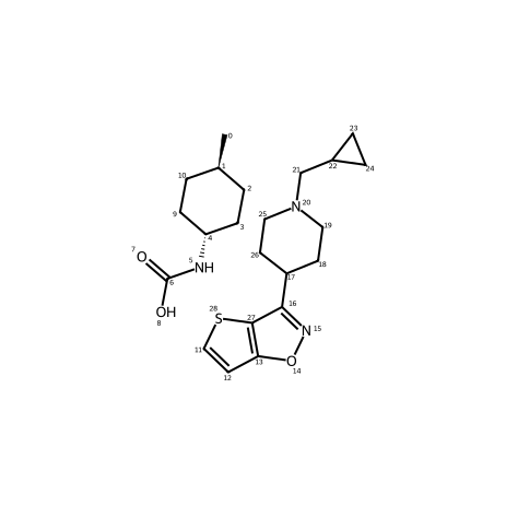 C[C@H]1CC[C@H](NC(=O)O)CC1.c1cc2onc(C3CCN(CC4CC4)CC3)c2s1